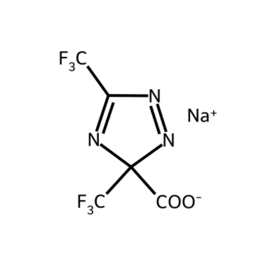 O=C([O-])C1(C(F)(F)F)N=NC(C(F)(F)F)=N1.[Na+]